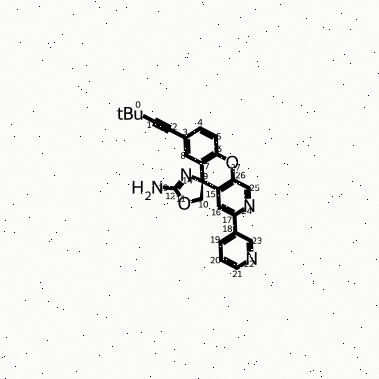 CC(C)(C)C#Cc1ccc2c(c1)[C@]1(COC(N)=N1)c1cc(-c3cccnc3)ncc1O2